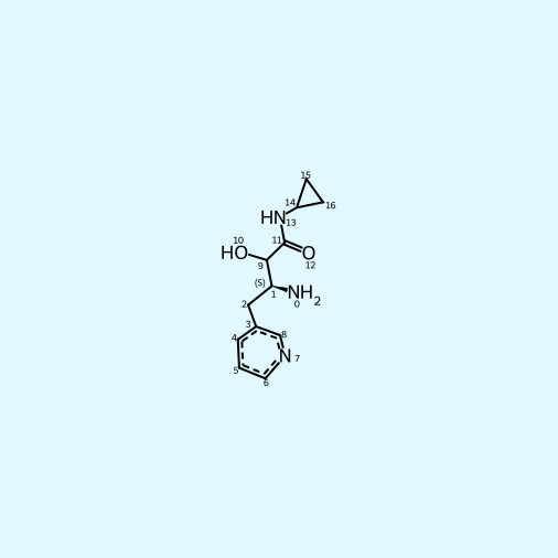 N[C@@H](Cc1cccnc1)C(O)C(=O)NC1CC1